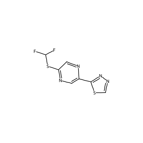 FC(F)Sc1cnc(-c2nncs2)cn1